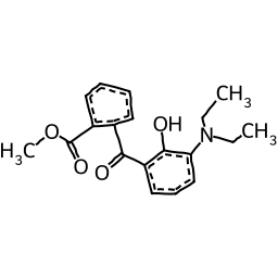 CCN(CC)c1cccc(C(=O)c2ccccc2C(=O)OC)c1O